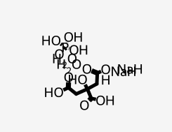 O.O.O=C(O)CC(O)(CC(=O)O)C(=O)O.O=P(O)(O)O.[NaH].[NaH]